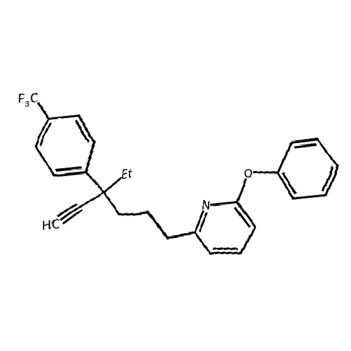 C#CC(CC)(CCCc1cccc(Oc2ccccc2)n1)c1ccc(C(F)(F)F)cc1